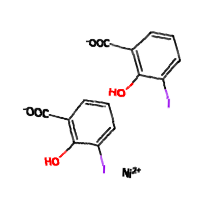 O=C([O-])c1cccc(I)c1O.O=C([O-])c1cccc(I)c1O.[Ni+2]